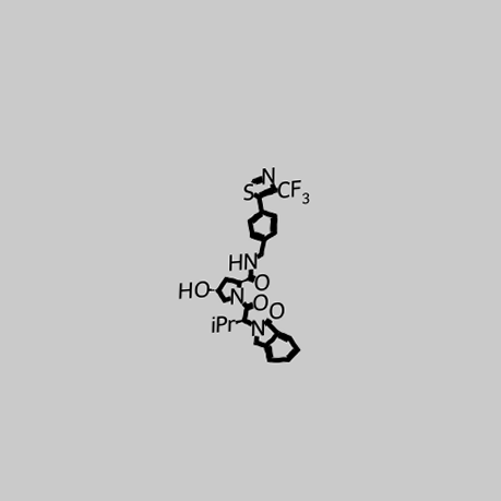 CC(C)[C@@H](C(=O)N1C[C@H](O)C[C@H]1C(=O)NCc1ccc(-c2scnc2C(F)(F)F)cc1)N1Cc2ccccc2C1=O